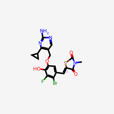 CN1C(=O)S/C(=C\c2cc(OCc3cnc(N)nc3C3CC3)c(O)c(F)c2Br)C1=O